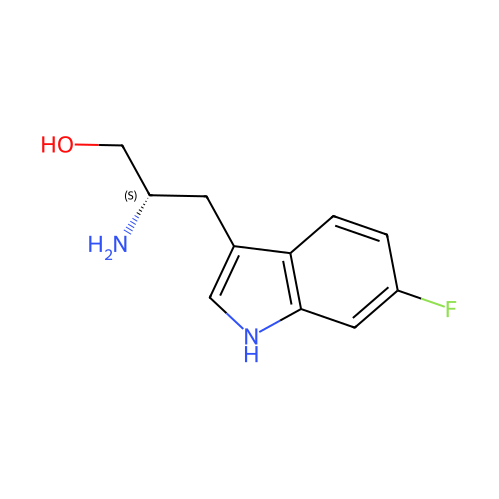 N[C@H](CO)Cc1c[nH]c2cc(F)ccc12